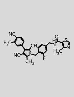 Cc1ncsc1C(=O)NCc1ccc(Cn2c(C)c(C#N)c(-c3ccc(C#N)c(C(F)(F)F)c3)c2C)c(F)c1